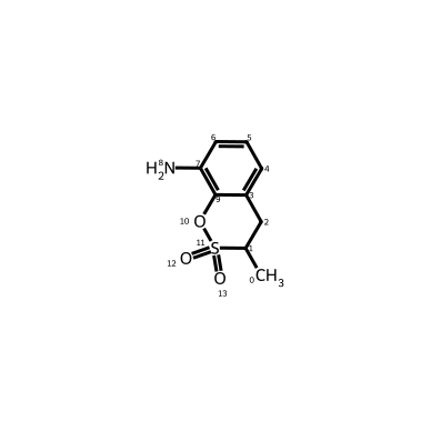 CC1Cc2cccc(N)c2OS1(=O)=O